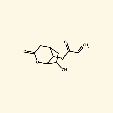 C=CC(=O)OC1C2CC(=O)OC1C(C)C2